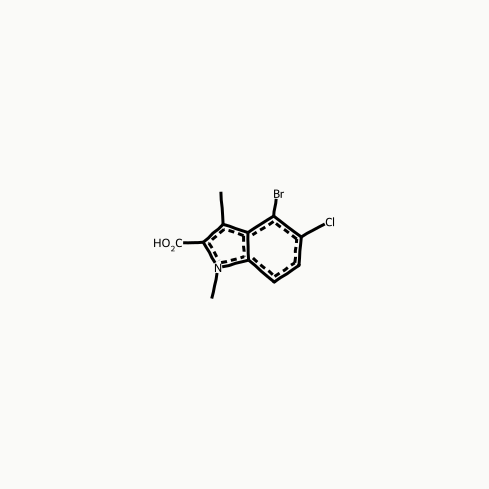 Cc1c(C(=O)O)n(C)c2ccc(Cl)c(Br)c12